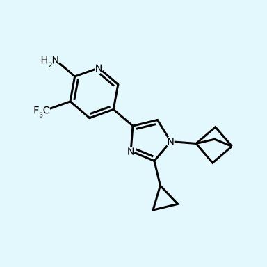 Nc1ncc(-c2cn(C34CC(C3)C4)c(C3CC3)n2)cc1C(F)(F)F